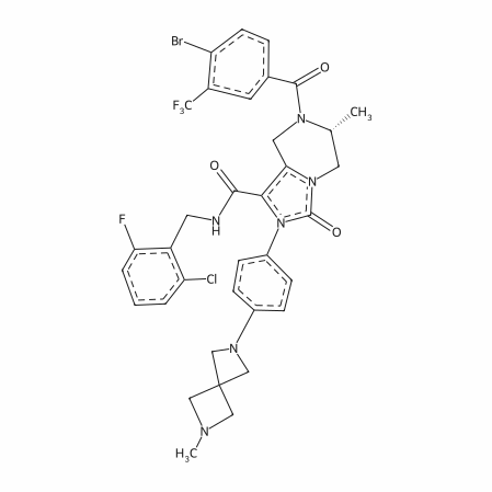 C[C@@H]1Cn2c(c(C(=O)NCc3c(F)cccc3Cl)n(-c3ccc(N4CC5(CN(C)C5)C4)cc3)c2=O)CN1C(=O)c1ccc(Br)c(C(F)(F)F)c1